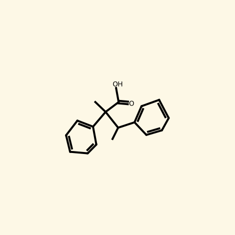 CC(c1ccccc1)C(C)(C(=O)O)c1ccccc1